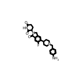 Nc1ccc(CN2CCC(c3cc4c(cc3F)C(=O)N(C3CCC(=O)NC3=O)C4)CC2)cc1